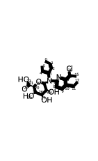 C/C=C\C(=C/C)N(c1ccc(=C/C)/c(=C(\C)Cl)n1)[C@@H]1O[C@H](C(=O)O)[C@@H](O)[C@H](O)[C@H]1O